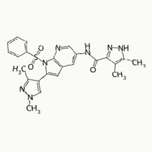 Cc1nn(C)cc1-c1cc2cc(NC(=O)c3n[nH]c(C)c3C)cnc2n1S(=O)(=O)c1ccccc1